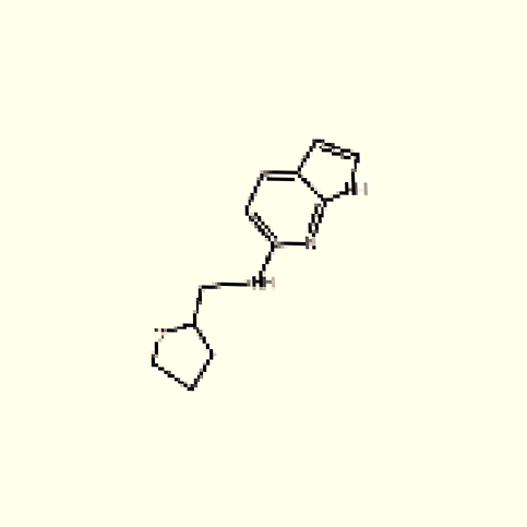 c1cc2ccc(NCC3CCCO3)nc2[nH]1